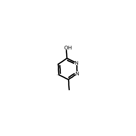 Cc1[c]cc(O)nn1